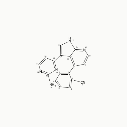 N#Cc1ccccc1-c1ccnc2[nH]cc(-c3ccnc(N)n3)c12